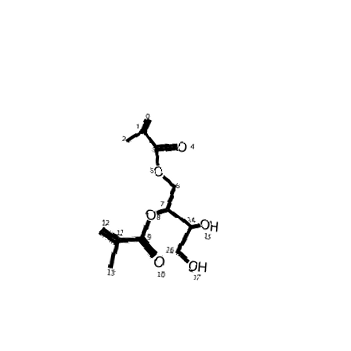 C=C(C)C(=O)OCC(OC(=O)C(=C)C)C(O)CO